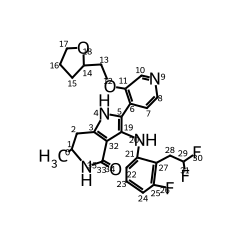 CC1Cc2[nH]c(-c3ccncc3OCC3CCCO3)c(Nc3cccc(F)c3CC(F)F)c2C(=O)N1